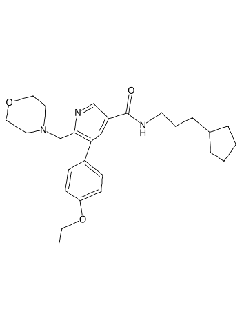 CCOc1ccc(-c2cc(C(=O)NCCCC3CCCC3)cnc2CN2CCOCC2)cc1